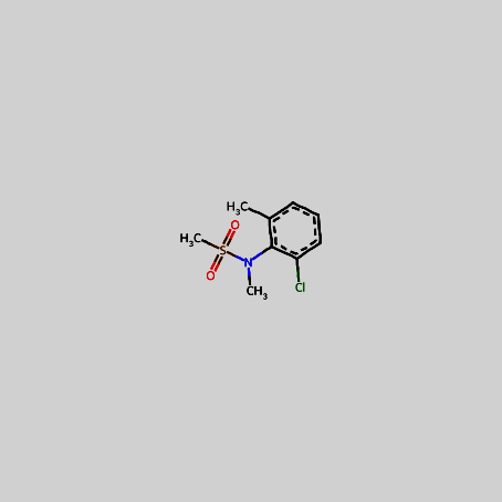 Cc1cccc(Cl)c1N(C)S(C)(=O)=O